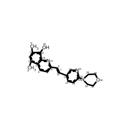 Cc1cc(C)c2ccc(/C=C/c3ccc(N4CCOCC4)nc3)nc2c1O